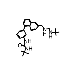 CC(C)(C)NCNCc1ccc2c(-c3cccc(NC(=O)NC(C)(C)C)c3)cccc2c1